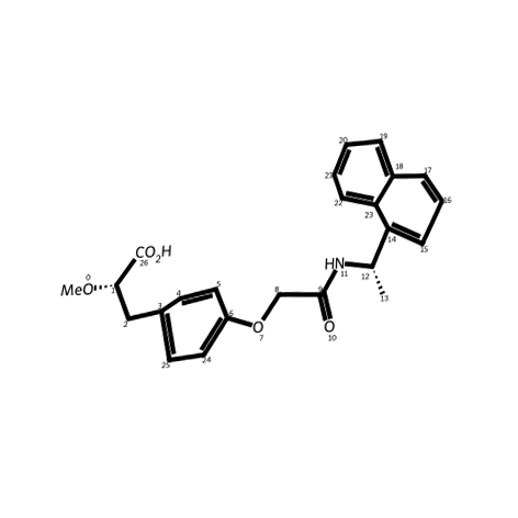 CO[C@@H](Cc1ccc(OCC(=O)N[C@@H](C)c2cccc3ccccc23)cc1)C(=O)O